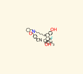 C[C@]12C[C@H](F)C3c4ccc(O)cc4C[C@@H](CCCCCCN(CC4CCCCC4)C(=O)c4ccc(C#N)cc4)C3C1CC[C@@H]2O